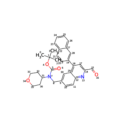 CC(C)(C)OC(=O)N(Cc1ccc2nc(C=O)cc(-c3ccc4ccccc4c3)c2c1)C1CCOCC1